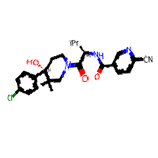 CC(C)[C@@H](NC(=O)c1ccc(C#N)nc1)C(=O)N1CC[C@](O)(c2ccc(Cl)cc2)C(C)(C)C1